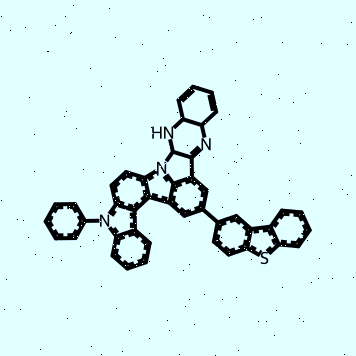 C1=CC2N=C3c4cc(-c5ccc6sc7ccccc7c6c5)cc5c6c7c8ccccc8n(-c8ccccc8)c7ccc6n(c45)C3NC2C=C1